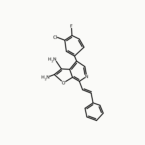 Nc1oc2c(C=Cc3ccccc3)ncc(-c3ccc(F)c(Cl)c3)c2c1N